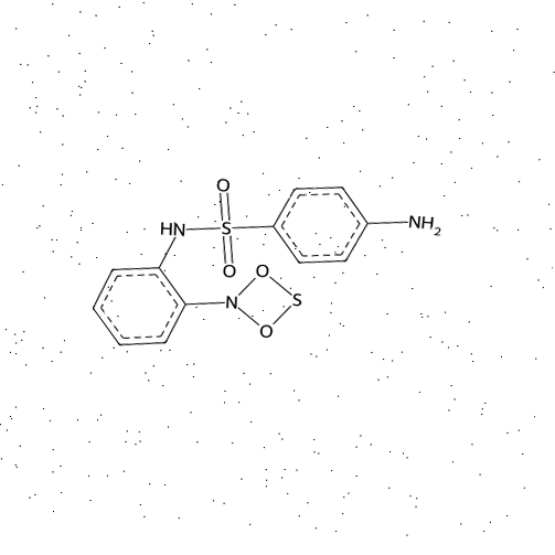 Nc1ccc(S(=O)(=O)Nc2ccccc2N2OSO2)cc1